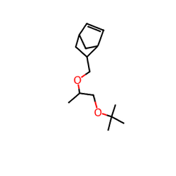 CC(COC(C)(C)C)OCC1CC2C=CC1C2